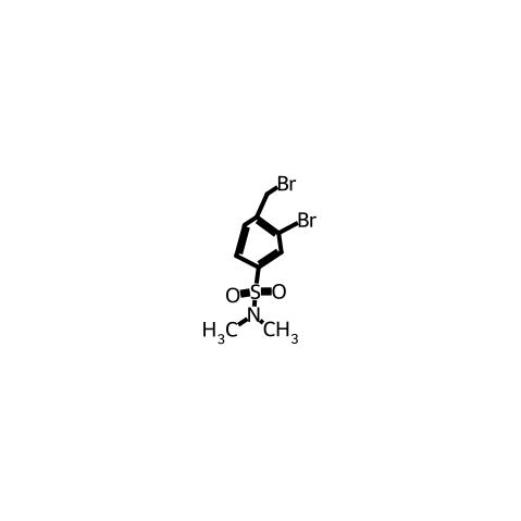 CN(C)S(=O)(=O)c1ccc(CBr)c(Br)c1